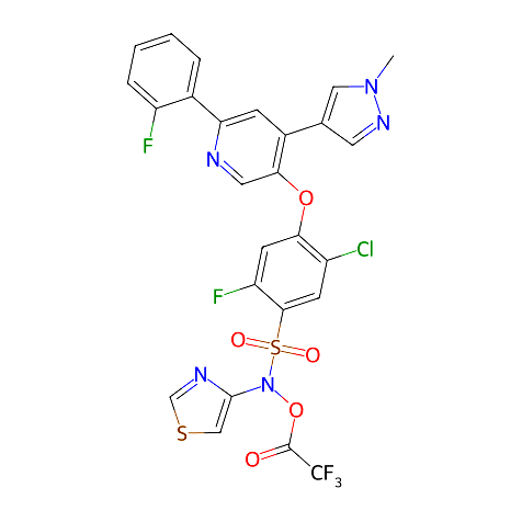 Cn1cc(-c2cc(-c3ccccc3F)ncc2Oc2cc(F)c(S(=O)(=O)N(OC(=O)C(F)(F)F)c3cscn3)cc2Cl)cn1